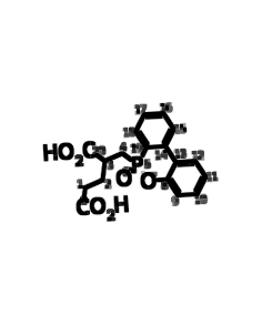 O=C(O)CCC(CP1(=O)Oc2ccccc2-c2ccccc21)C(=O)O